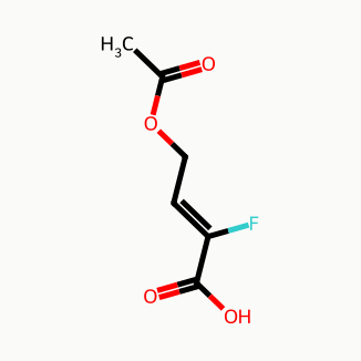 CC(=O)OCC=C(F)C(=O)O